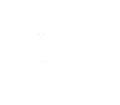 C=C1OCc2cc(F)oc2O1